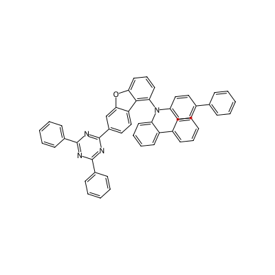 c1ccc(-c2ccc(N(c3ccccc3-c3ccccc3)c3cccc4oc5cc(-c6nc(-c7ccccc7)nc(-c7ccccc7)n6)ccc5c34)cc2)cc1